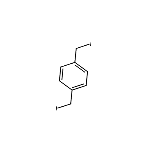 ICc1ccc(CI)cc1